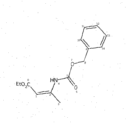 CCOC(=O)/C=C(/C)NC(=O)OCc1ccccc1